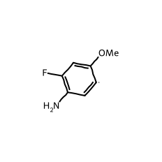 COc1[c]cc(N)c(F)c1